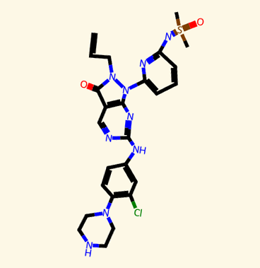 C=CCn1c(=O)c2cnc(Nc3ccc(N4CCNCC4)c(Cl)c3)nc2n1-c1cccc(N=S(C)(C)=O)n1